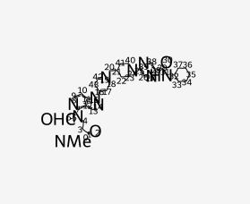 CNC(=O)CCN(C=O)c1nccc2c1cnn2C1CCN(CC2CCN(c3cnc(C(=O)NC4CCCCC4)cn3)CC2)CC1